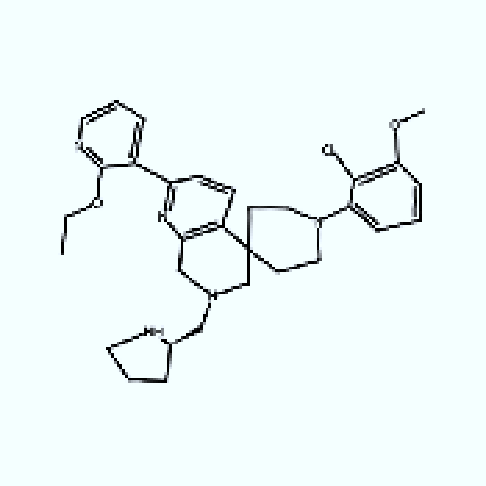 CCOc1ncccc1-c1ccc2c(n1)CN(C[C@H]1CCCN1)CC21CCN(c2cccc(OC)c2Cl)CC1